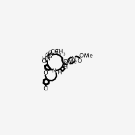 COC(=O)CN1CCN(C[C@]2(OC)/C=C/C[C@H](C)[C@@H](C)S(=O)(=O)NC(=O)c3ccc4c(c3)N(CCCCc3cc(Cl)ccc3CO4)C[C@@H]3CC[C@H]32)CC1